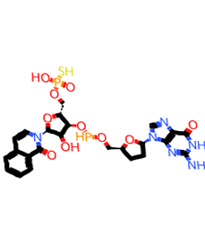 Nc1nc2c(ncn2[C@H]2CC[C@@H](COPO[C@H]3C(O)[C@H](n4ccc5ccccc5c4=O)O[C@@H]3COP(=O)(O)S)O2)c(=O)[nH]1